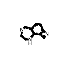 c1c[nH]c2c(ccc3ncc32)cn1